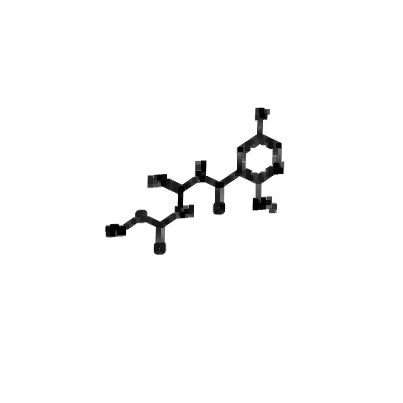 CC(C)(C)OC(=O)NC(=N)NC(=O)c1cc(Br)cnc1N